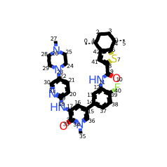 C[C@@H]1CC[C@H](C)c2sc(C(=O)Nc3cc(-c4cc(Nc5ccc(N6CCN(C)CC6)cn5)c(=O)n(C)c4)ccc3F)cc21